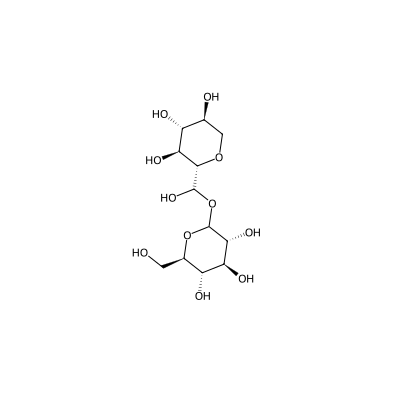 OC[C@H]1OC(OC(O)[C@H]2OC[C@H](O)[C@@H](O)[C@@H]2O)[C@H](O)[C@@H](O)[C@@H]1O